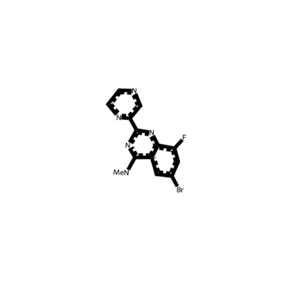 CNc1nc(-c2cnccn2)nc2c(F)cc(Br)cc12